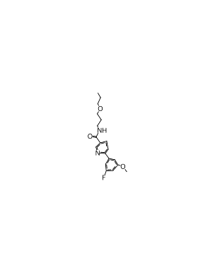 CCCOCCCNC(=O)c1ccc(-c2cc(F)cc(OC)c2)nc1